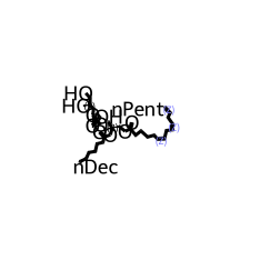 CCCCC/C=C\C/C=C\C/C=C\CCCCC(=O)OC[C@H](COP(=O)(O)OC[C@@H](O)CO)OC(=O)CCCCCCCCCCCCCCCC